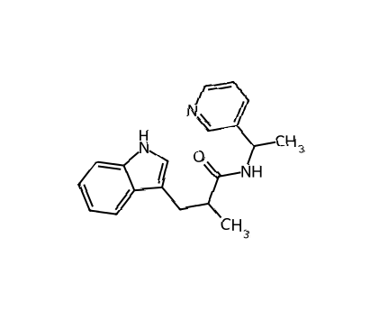 CC(Cc1c[nH]c2ccccc12)C(=O)NC(C)c1cccnc1